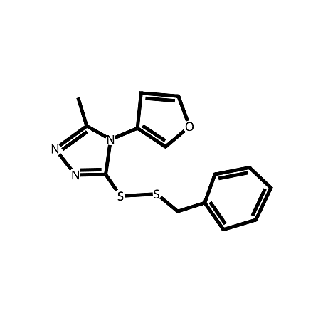 Cc1nnc(SSCc2ccccc2)n1-c1ccoc1